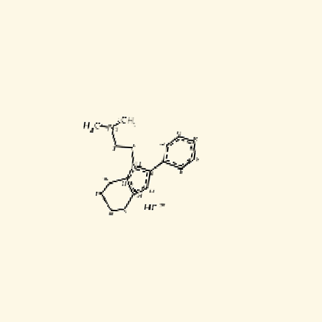 CN(C)CCn1c(-c2ccccc2)cc2c1CCCC2.Cl